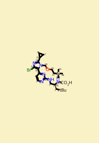 CC(C)(C)C[C@@H](CNc1nccc(-c2c(Br)nc(C3CC3)n2COCC[Si](C)(C)C)n1)NC(=O)O